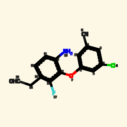 N#Cc1cc(Cl)cc(Oc2c(N)ccc(CC=O)c2F)c1